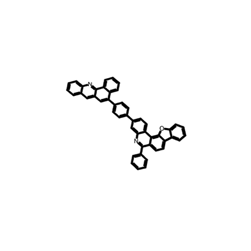 c1ccc(-c2nc3cc(-c4ccc(-c5cc6cc7ccccc7nc6c6ccccc56)cc4)ccc3c3c2ccc2c4ccccc4oc23)cc1